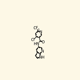 O=C(Nc1cnc2[nH]ccc2c1)c1cnc(C(F)(F)F)cc1Cl